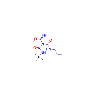 COC(=N)N(C(=O)NCCI)C(=O)NC(C)(C)C